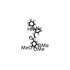 COc1cc(C(=O)C=Cc2cccnc2Nc2ccccc2)cc(OC)c1OC